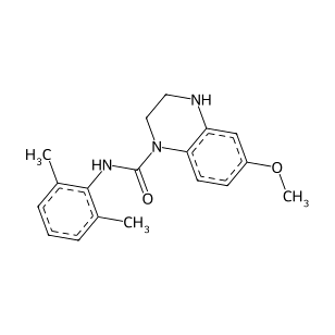 COc1ccc2c(c1)NCCN2C(=O)Nc1c(C)cccc1C